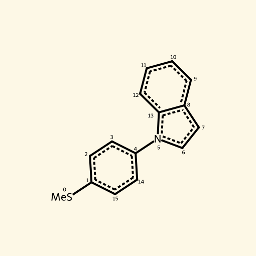 CSc1ccc(-n2ccc3ccccc32)cc1